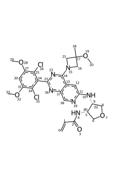 C=CC(=O)N[C@H]1COC[C@H]1Nc1cc2c(N3CC(C)(OC)C3)nc(-c3c(Cl)c(OC)cc(OC)c3Cl)nc2cn1